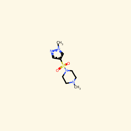 CN1CCN(S(=O)(=O)c2cnn(C)c2)CC1